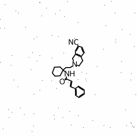 N#Cc1ccc2c(c1)CN(CCC1(NC(=O)C=Cc3ccccc3)CCCCC1)CC2